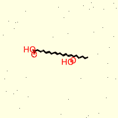 CCCCCC(C=CC=CCC=CCC=CCCCC(=O)O)OO